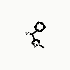 Cn1cc(C(C#N)c2ccccc2)cn1